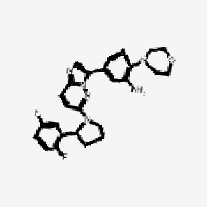 Nc1cc(-c2cnc3ccc(N4CCCC4c4cc(F)ccc4F)nn23)ccc1N1CCOCC1